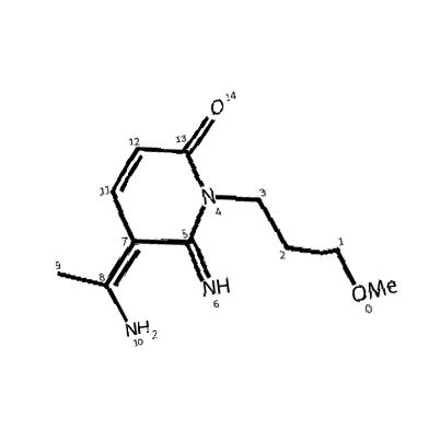 COCCCN1C(=N)/C(=C(/C)N)C=CC1=O